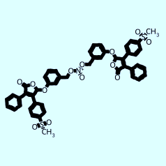 CS(=O)(=O)c1ccc(C2=C(c3ccccc3)C(=O)OC2Oc2cccc(CO[N+](=O)OCc3cccc(OC4OC(=O)C(c5ccccc5)=C4c4ccc(S(C)(=O)=O)cc4)c3)c2)cc1